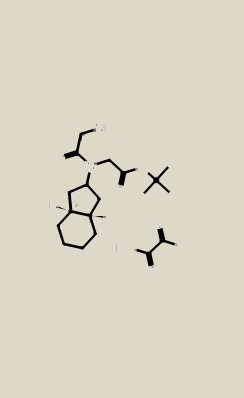 C[C@H](N)C(=O)N(CC(=O)OC(C)(C)C)C1C[C@H]2CCCC[C@H]2C1.O=C(O)C(=O)O